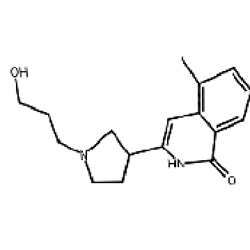 Cc1cccc2c(=O)[nH]c(C3CCN(CCCO)C3)cc12